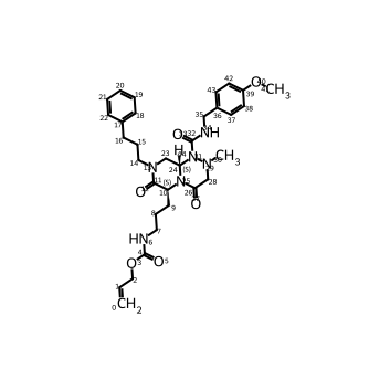 C=CCOC(=O)NCCC[C@H]1C(=O)N(CCCc2ccccc2)C[C@H]2N1C(=O)CN(C)N2C(=O)NCc1ccc(OC)cc1